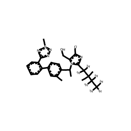 [2H]C([2H])([2H])C([2H])([2H])C(C)(C)C([2H])([2H])c1nc(Cl)c(CO)n1C(C)c1ccc(-c2ccccc2-c2nnn(C)n2)cc1C